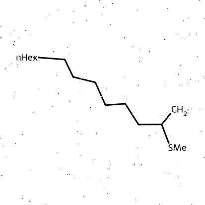 [CH2]C(CCCCCCCCCCCC)SC